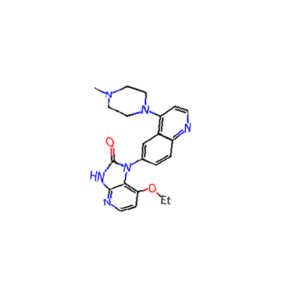 CCOc1ccnc2[nH]c(=O)n(-c3ccc4nccc(N5CCN(C)CC5)c4c3)c12